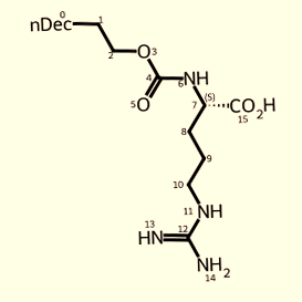 CCCCCCCCCCCCOC(=O)N[C@@H](CCCNC(=N)N)C(=O)O